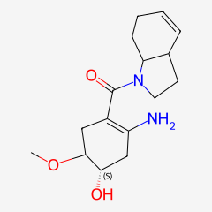 COC1CC(C(=O)N2CCC3C=CCCC32)=C(N)C[C@@H]1O